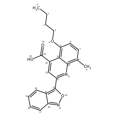 CCCCOc1ccc(C)c2nc(-c3onc4ccccc34)cc(C(=O)O)c12